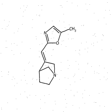 Cc1cnc(C=C2CN3CCC2C3)o1